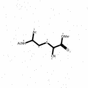 COC(=O)C(C#N)SCC(NC(C)=O)C(C)=O